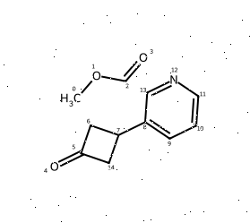 COC=O.O=C1CC(c2cccnc2)C1